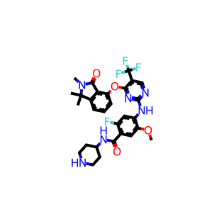 COc1cc(C(=O)NC2CCNCC2)c(F)cc1Nc1ncc(C(F)(F)F)c(Oc2cccc3c2C(=O)N(C)C3(C)C)n1